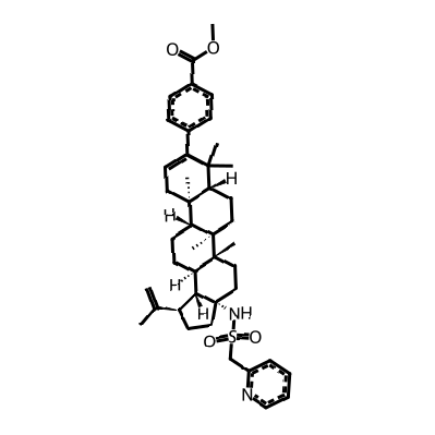 C=C(C)[C@@H]1CC[C@]2(NS(=O)(=O)Cc3ccccn3)CC[C@]3(C)[C@H](CC[C@@H]4[C@@]5(C)CC=C(c6ccc(C(=O)OC)cc6)C(C)(C)[C@@H]5CC[C@]43C)[C@@H]12